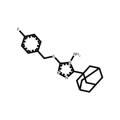 Nn1c(SCc2ccc(F)cc2)nnc1C12CC3CC(CC(C3)C1)C2